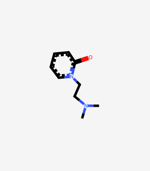 CN(C)CCn1ccccc1=O